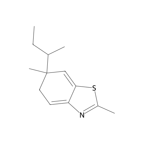 CCC(C)C1(C)C=c2sc(C)nc2=CC1